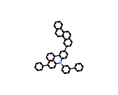 c1ccc(-c2ccc(N(c3cccc(-c4ccccc4)c3)c3ccc(-c4ccc5ccc6c7ccccc7ccc6c5c4)cc3-c3ccccc3)cc2)cc1